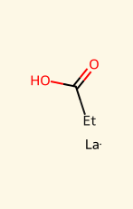 CCC(=O)O.[La]